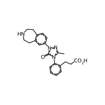 Cc1nn(-c2ccc3c(c2)CCNCC3)c(=O)n1-c1ccccc1CCC(=O)O